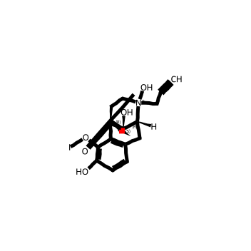 C#CC[N+]1(O)CC[C@]23CC(=O)CC[C@@]2(O)[C@H]1Cc1ccc(O)c(OI)c13